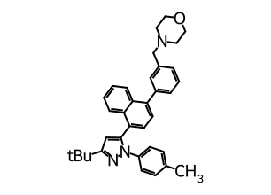 Cc1ccc(-n2nc(C(C)(C)C)cc2-c2ccc(-c3cccc(CN4CCOCC4)c3)c3ccccc23)cc1